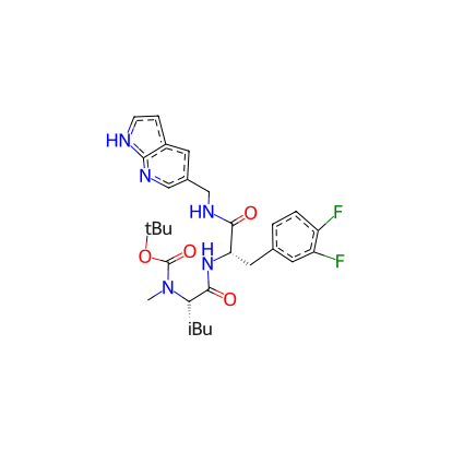 CC[C@@H](C)C(C(=O)N[C@@H](Cc1ccc(F)c(F)c1)C(=O)NCc1cnc2[nH]ccc2c1)N(C)C(=O)OC(C)(C)C